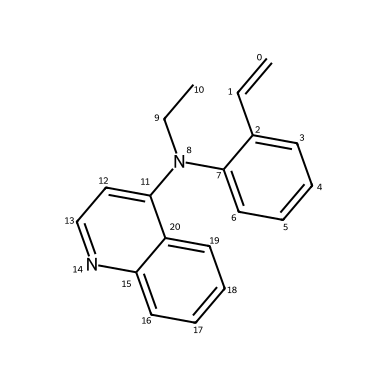 C=Cc1ccccc1N(CC)c1ccnc2ccccc12